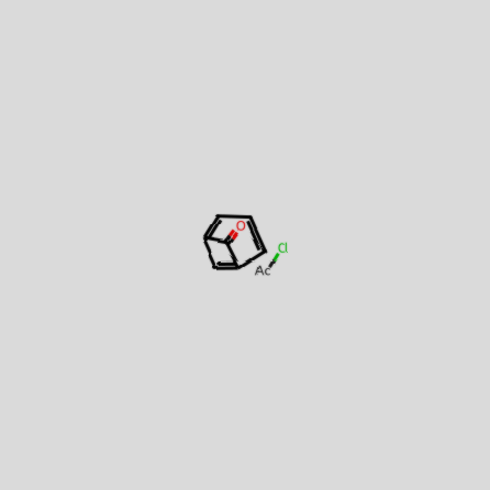 CC(=O)Cl.O=C1c2cccc1c2